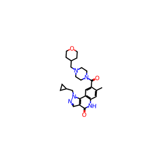 Cc1cc2[nH]c(=O)c3cnn(CC4CC4)c3c2cc1C(=O)N1CCN(CC2CCOCC2)CC1